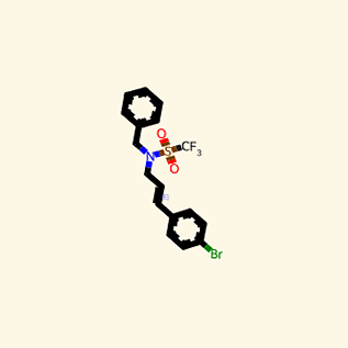 O=S(=O)(N(C/C=C/c1ccc(Br)cc1)Cc1ccccc1)C(F)(F)F